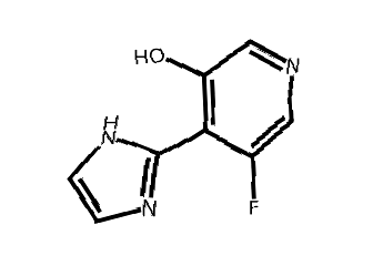 Oc1cncc(F)c1-c1ncc[nH]1